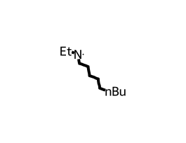 CCCCCCCCC[N]CC